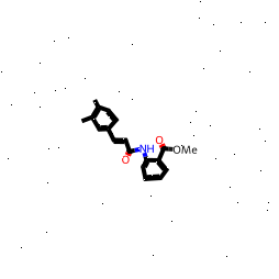 COC(=O)c1ccccc1NC(=O)/C=C/c1ccc(C)c(C)c1